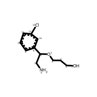 NCC(OCCCO)c1cccc(Cl)c1